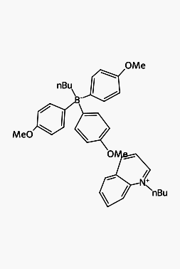 CCCC[B-](c1ccc(OC)cc1)(c1ccc(OC)cc1)c1ccc(OC)cc1.CCCC[n+]1cccc2ccccc21